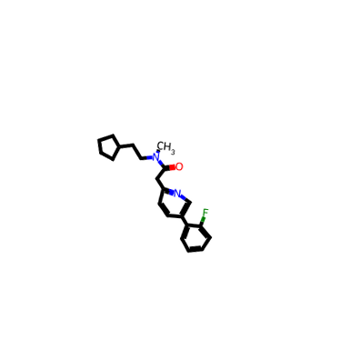 CN(CCC1CCCC1)C(=O)Cc1ccc(-c2ccccc2F)cn1